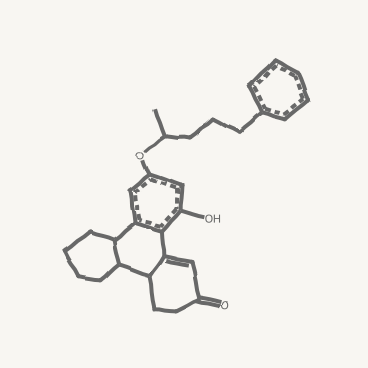 CC(CCCc1ccccc1)Oc1cc(O)c2c(c1)C1CCCCC1C1CCC(=O)C=C21